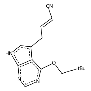 CC(C)(C)COc1ncnc2[nH]cc(CC=CC#N)c12